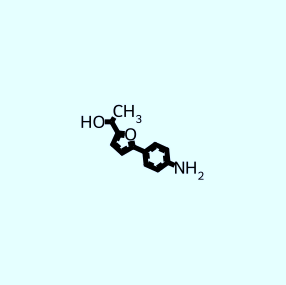 CC(O)c1ccc(-c2ccc(N)cc2)o1